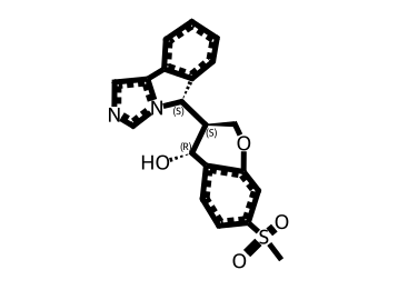 CS(=O)(=O)c1ccc2c(c1)OC[C@H]([C@H]1c3ccccc3-c3cncn31)[C@H]2O